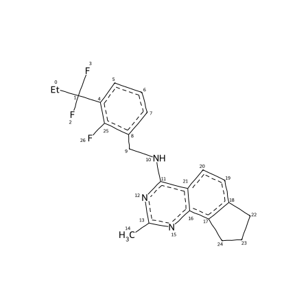 CCC(F)(F)c1cccc(CNc2nc(C)nc3c4c(ccc23)CCC4)c1F